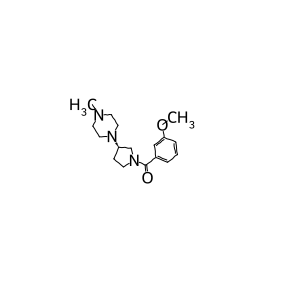 COc1cccc(C(=O)N2CC[C@@H](N3CCN(C)CC3)C2)c1